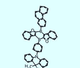 CC1(C)c2ccccc2N(c2ccc(B3c4oc5ccccc5c4B(c4ccc5c(ccc6ccccc65)c4)c4oc5ccccc5c43)cc2)c2ccccc21